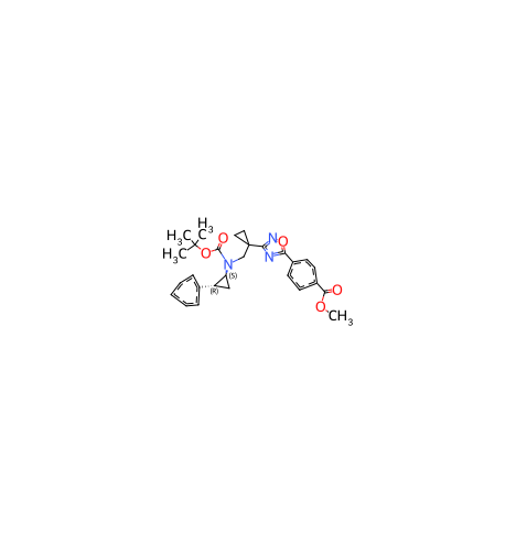 COC(=O)c1ccc(-c2nc(C3(CN(C(=O)OC(C)(C)C)[C@H]4C[C@@H]4c4ccccc4)CC3)no2)cc1